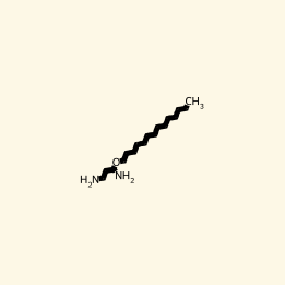 CCCCCCCCCCCCCCOC(N)CCN